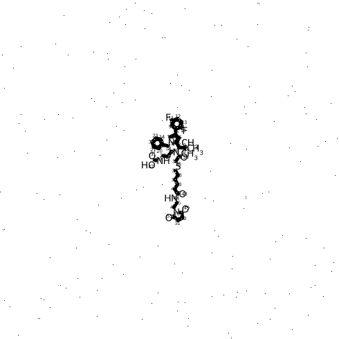 CC(C)(C)[C@H](c1cc(-c2cc(F)ccc2F)cn1Cc1ccccc1)N(CCCNC(=O)O)C(=O)CSCCCCCC(=O)NCCN1C(=O)C=CC1=O